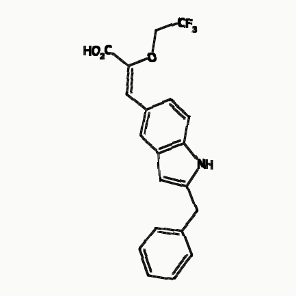 O=C(O)C(=Cc1ccc2[nH]c(Cc3ccccc3)cc2c1)OCC(F)(F)F